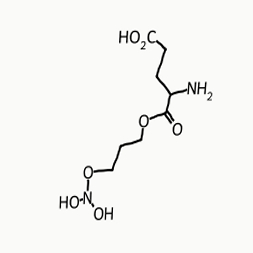 NC(CCC(=O)O)C(=O)OCCCON(O)O